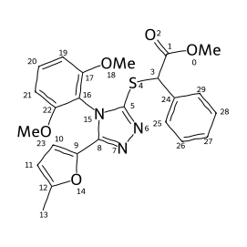 COC(=O)C(Sc1nnc(-c2ccc(C)o2)n1-c1c(OC)cccc1OC)c1ccccc1